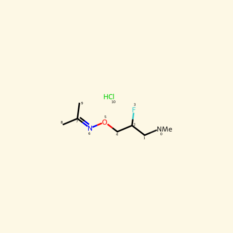 CNCC(F)CON=C(C)C.Cl